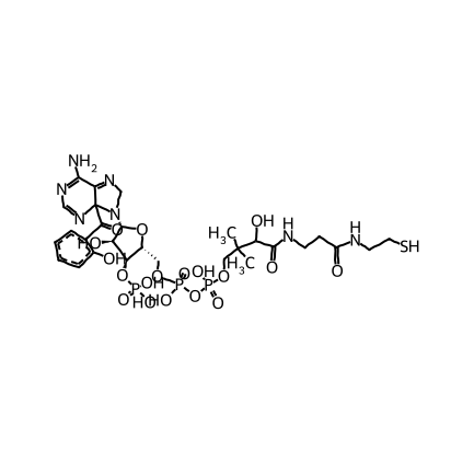 CC(C)(COP(=O)(O)OP(=O)(O)OC[C@H]1O[C@@H](N2CN=C3C(N)=NC=NC32C(=O)c2ccccc2O)[C@H](O)[C@@H]1OP(=O)(O)O)C(O)C(=O)NCCC(=O)NCCS